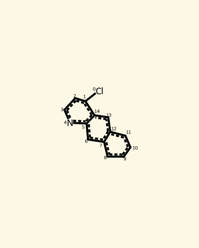 Clc1ccnc2cc3ccccc3cc12